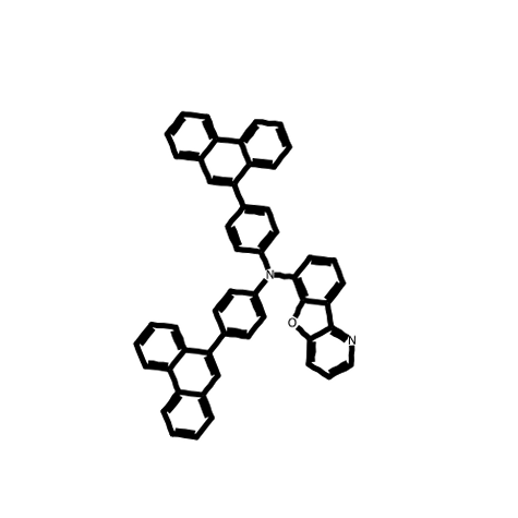 c1ccc2c(c1)cc(-c1ccc(N(c3ccc(-c4cc5ccccc5c5ccccc45)cc3)c3cccc4c3oc3cccnc34)cc1)c1ccccc12